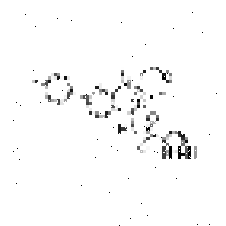 Cc1ccc(-c2ccc(C(=O)NS(=O)(=O)c3cc[nH]n3)c(N(C)C3(C)CCOCC3)n2)cc1